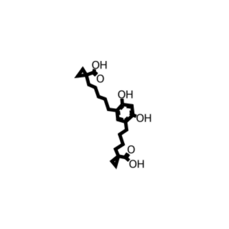 O=C(O)C1(CCCCCc2cc(CCCCC3(C(=O)O)CC3)c(O)cc2O)CC1